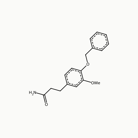 COc1cc(CCC(N)=O)ccc1OCc1ccccc1